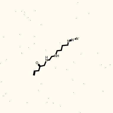 C=CCC(=O)CNCCNCCCCN=[N+]=[N-]